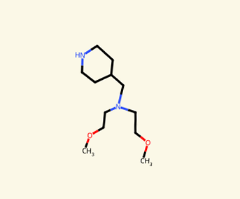 COCCN(CCOC)CC1CCNCC1